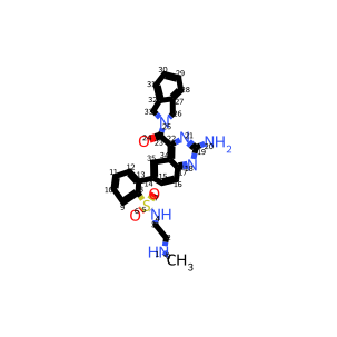 CNCCNS(=O)(=O)c1ccccc1-c1ccc2nc(N)nc(C(=O)N3Cc4ccccc4C3)c2c1